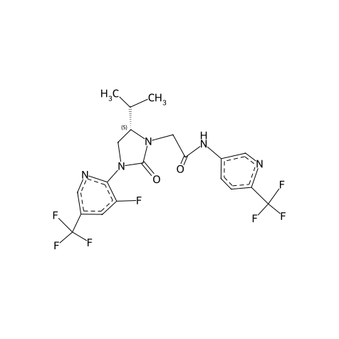 CC(C)[C@H]1CN(c2ncc(C(F)(F)F)cc2F)C(=O)N1CC(=O)Nc1ccc(C(F)(F)F)nc1